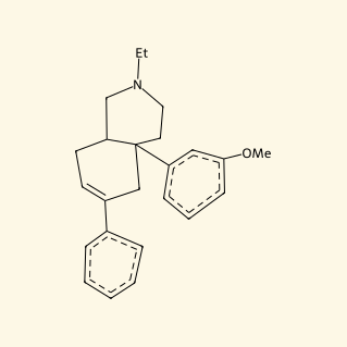 CCN1CCC2(c3cccc(OC)c3)CC(c3ccccc3)=CCC2C1